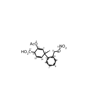 CC(=O)OC1=CC(C)(c2ccccc2CO[N+](=O)[O-])C=CC1C(=O)O